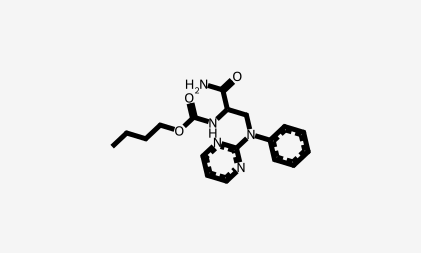 CCCCOC(=O)NC(CN(c1ccccc1)c1ncccn1)C(N)=O